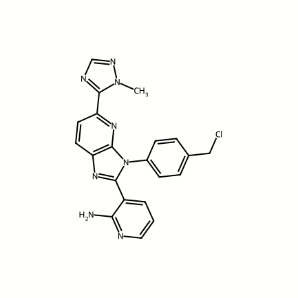 Cn1ncnc1-c1ccc2nc(-c3cccnc3N)n(-c3ccc(CCl)cc3)c2n1